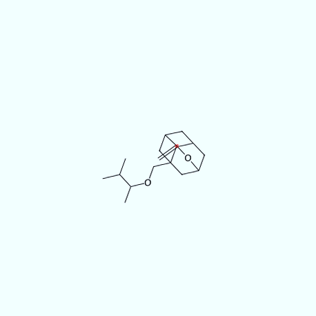 C=C1OC2CC3CC1CC(COC(C)C(C)C)(C3)C2